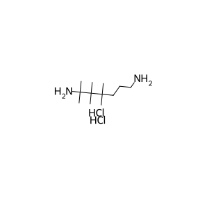 CC(C)(N)C(C)(C)C(C)(C)CCCN.Cl.Cl